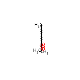 C=C(C)C(=O)[O][Ti](=[O])[O]C(=O)CCCCCCCCCCCCCCCCC